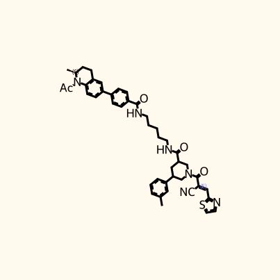 CC(=O)N1c2ccc(-c3ccc(C(=O)NCCCCCNC(=O)C4CC(c5cccc(C)c5)CN(C(=O)/C(C#N)=C/c5nccs5)C4)cc3)cc2CC[C@@H]1C